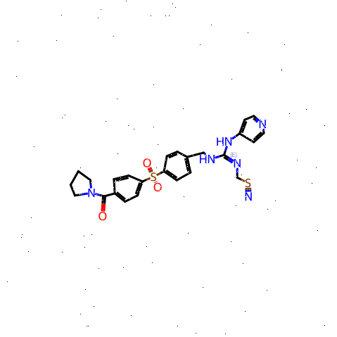 N#SC/N=C(\NCc1ccc(S(=O)(=O)c2ccc(C(=O)N3CCCC3)cc2)cc1)Nc1ccncc1